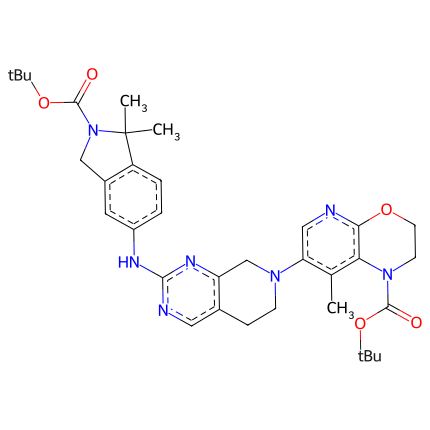 Cc1c(N2CCc3cnc(Nc4ccc5c(c4)CN(C(=O)OC(C)(C)C)C5(C)C)nc3C2)cnc2c1N(C(=O)OC(C)(C)C)CCO2